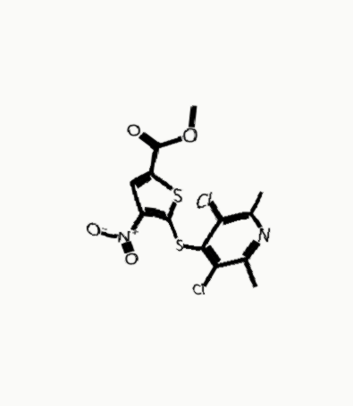 COC(=O)c1cc([N+](=O)[O-])c(Sc2c(Cl)c(C)nc(C)c2Cl)s1